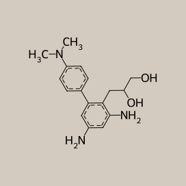 CN(C)c1ccc(-c2cc(N)cc(N)c2CC(O)CO)cc1